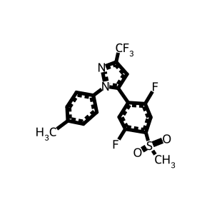 Cc1ccc(-n2nc(C(F)(F)F)cc2-c2cc(F)c(S(C)(=O)=O)cc2F)cc1